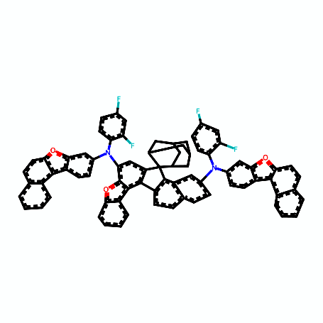 Fc1ccc(N(c2ccc3c(c2)oc2ccc4ccccc4c23)c2ccc3ccc4c(c3c2)C2(c3cc(N(c5ccc6c(c5)oc5ccc7ccccc7c56)c5ccc(F)cc5F)c5oc6ccccc6c5c3-4)C3CC4CC(C3)CC2C4)c(F)c1